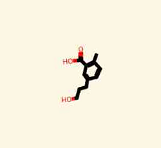 Cc1ccc(CCCO)cc1C(=O)O